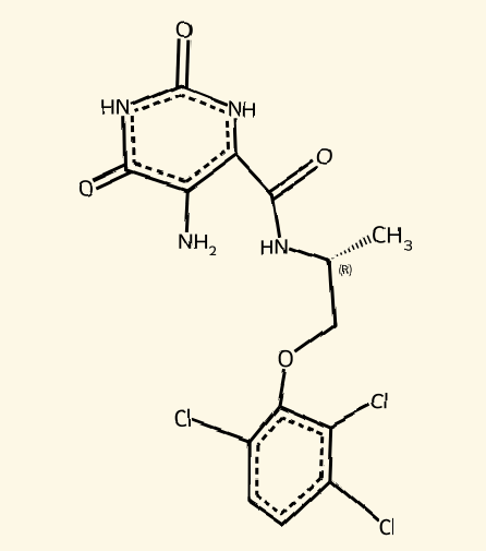 C[C@H](COc1c(Cl)ccc(Cl)c1Cl)NC(=O)c1[nH]c(=O)[nH]c(=O)c1N